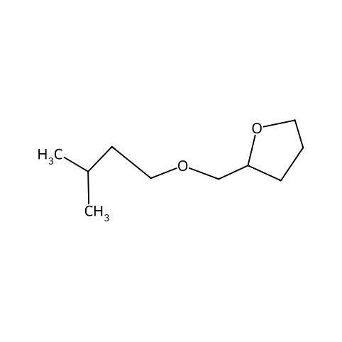 CC(C)CCOCC1CCCO1